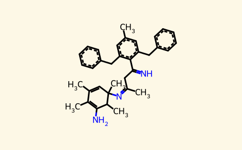 CC1=CC(C)(N=C(C)CC(=N)c2c(Cc3ccccc3)cc(C)cc2Cc2ccccc2)C(C)C(N)=C1C